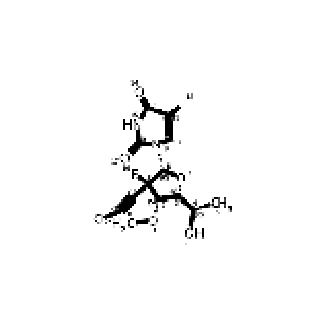 CO[C@H]1[C@@H]([C@@H](C)O)O[C@@H](n2cc(F)c(=O)[nH]c2=O)C1(F)C#CCl